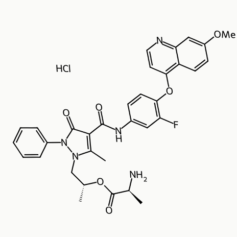 COc1ccc2c(Oc3ccc(NC(=O)c4c(C)n(C[C@@H](C)OC(=O)[C@H](C)N)n(-c5ccccc5)c4=O)cc3F)ccnc2c1.Cl